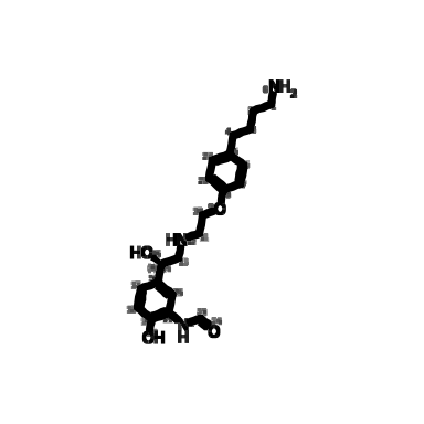 NCCCCc1ccc(OCCNC[C@H](O)c2ccc(O)c(NC=O)c2)cc1